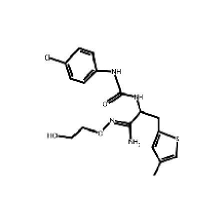 Cc1csc(CC(NC(=O)Nc2ccc(Cl)cc2)C(N)=NOCCO)c1